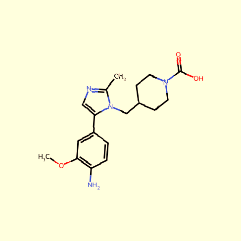 COc1cc(-c2cnc(C)n2CC2CCN(C(=O)O)CC2)ccc1N